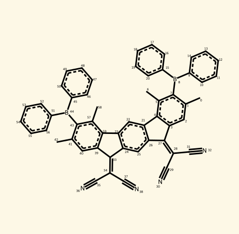 Cc1cc2c(c(C)c1B(c1ccccc1)c1ccccc1)-c1cc3c(cc1C2=C(C#N)C#N)C(=C(C#N)C#N)c1cc(C)c(B(c2ccccc2)c2ccccc2)c(C)c1-3